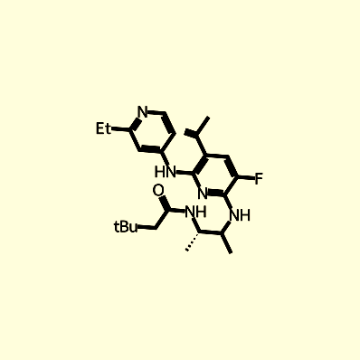 C=C(C)c1cc(F)c(NC(C)[C@H](C)NC(=O)CC(C)(C)C)nc1Nc1ccnc(CC)c1